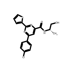 C[C@@H](CO)NC(=O)c1cc(-c2ccc(Cl)cc2)nc(-c2cccs2)n1